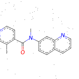 Cc1cnccc1C(=O)N(C)c1ccc2cccnc2c1